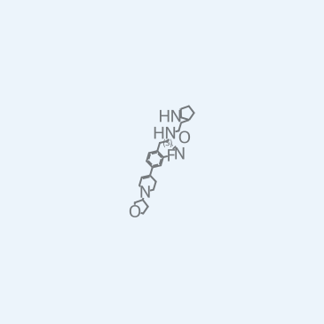 N#C[C@H](Cc1ccc(C2=CCN(C3CCOC3)CC2)cc1F)NC(=O)C1NC2CCC1C2